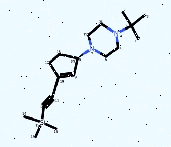 CC(C)(C)N1CCN([C@H]2C=C(C#C[Si](C)(C)C)CC2)CC1